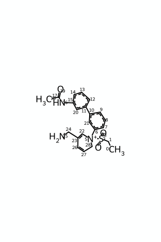 CCS(=O)(=O)[N+]1(c2cccc(-c3cccc(NC(C)=O)c3)c2)C=C(CN)C=CC1